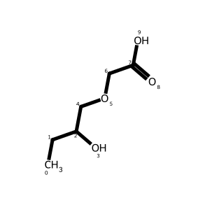 CCC(O)COCC(=O)O